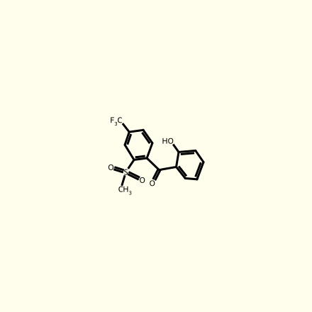 CS(=O)(=O)c1cc(C(F)(F)F)ccc1C(=O)c1ccccc1O